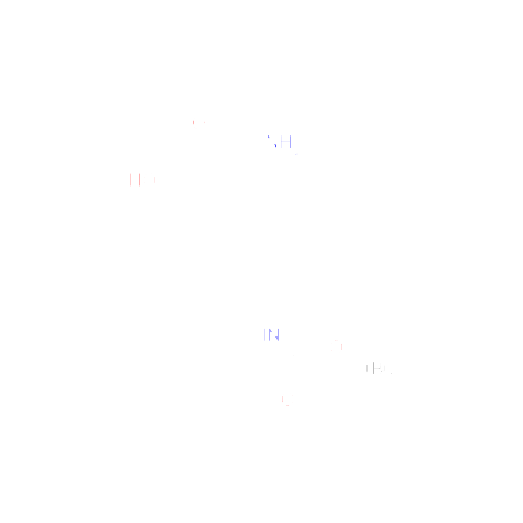 CC(C)(C)OC(=O)NCc1ccc(O)c(C(N)=O)c1